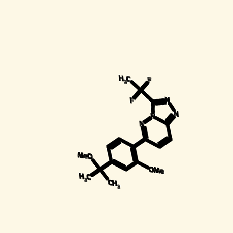 COc1cc(C(C)(C)OC)ccc1-c1ccc2nnc(C(C)(F)F)n2n1